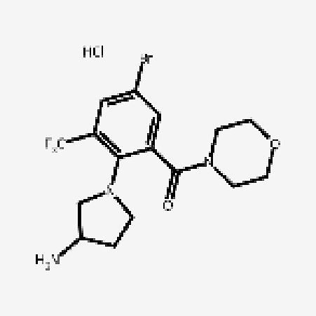 Cl.NC1CCN(c2c(C(=O)N3CCOCC3)cc(Br)cc2C(F)(F)F)C1